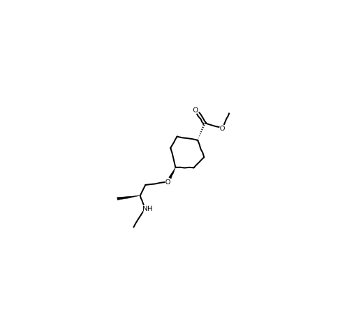 CN[C@@H](C)CO[C@H]1CC[C@H](C(=O)OC)CC1